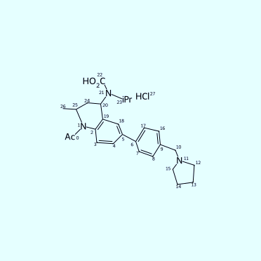 CC(=O)N1c2ccc(-c3ccc(CN4CCCC4)cc3)cc2C(N(C(=O)O)C(C)C)CC1C.Cl